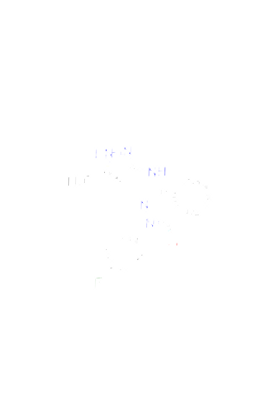 Cc1cc(Nc2nn(-c3ccc(F)cc3)c(=O)c3ccccc23)n[nH]1